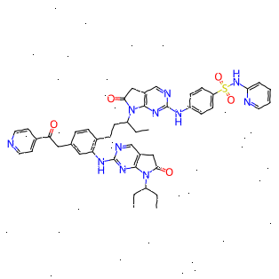 CCC(CCc1ccc(CC(=O)c2ccncc2)cc1Nc1ncc2c(n1)N(C(CC)CC)C(=O)C2)N1C(=O)Cc2cnc(Nc3ccc(S(=O)(=O)Nc4ccccn4)cc3)nc21